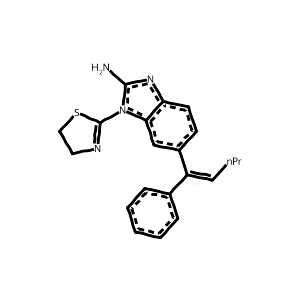 CCC/C=C(/c1ccccc1)c1ccc2nc(N)n(C3=NCCS3)c2c1